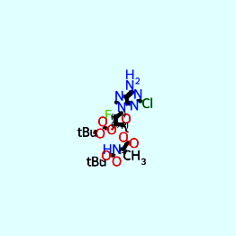 C[C@H](NC(=O)OC(C)(C)C)C(=O)OC[C@H]1O[C@@H](n2cnc3c(N)nc(Cl)nc32)[C@@H](F)[C@@H]1OC(=O)OC(C)(C)C